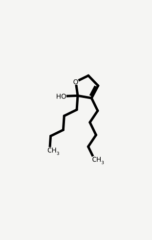 CCCCCC1=CCOC1(O)CCCCC